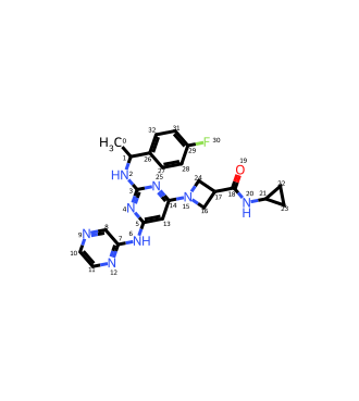 CC(Nc1nc(Nc2cnccn2)cc(N2CC(C(=O)NC3CC3)C2)n1)c1ccc(F)cc1